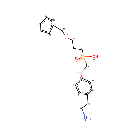 NCCc1ccc(OCP(=O)(O)CCCOCc2ccccc2)cc1